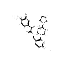 CC(C(=O)NCc1ccc(C(F)(F)F)nc1N1CCC(N2CCCC2)CC1)c1ccc(N)c(F)c1